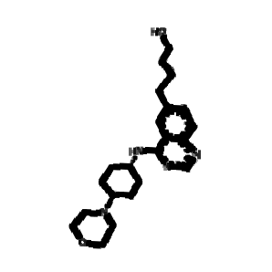 OCCCCc1ccc2ncnc(N[C@H]3CC[C@H](N4CCOCC4)CC3)c2c1